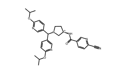 CC(C)Oc1ccc(C(c2ccc(OC(C)C)nc2)N2CC[C@@H](NC(=O)c3ccc(C#N)nc3)C2)cn1